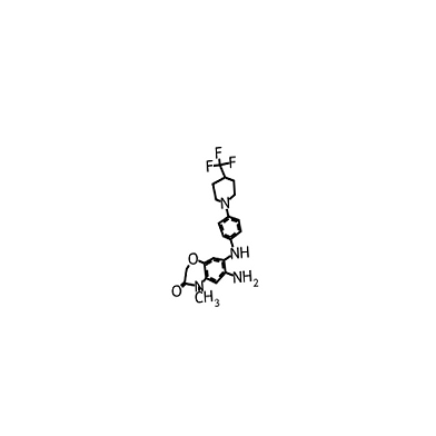 CN1C(=O)COc2cc(Nc3ccc(N4CCC(C(F)(F)F)CC4)cc3)c(N)cc21